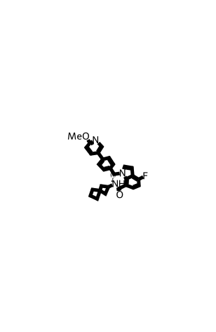 COc1ccc(-c2ccc([C@@H](C)n3ccc4c(F)ccc(C(=O)NC5CC6(CCC6)C5)c43)cc2)cn1